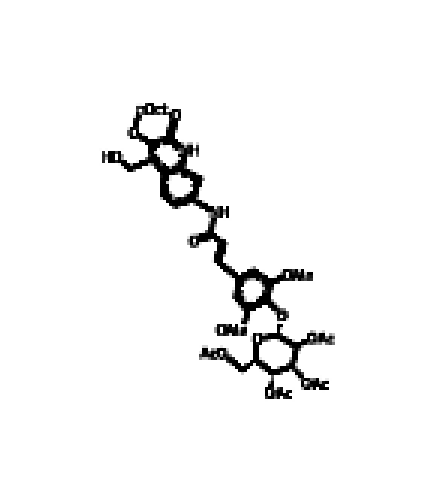 CCCCCCCCOc1c(CO)c2ccc(NC(=O)C=Cc3cc(OC)c(O[C@H]4O[C@H](COC(C)=O)[C@@H](OC(C)=O)[C@H](OC(C)=O)[C@@H]4OC(C)=O)c(OC)c3)cc2[nH]c1=O